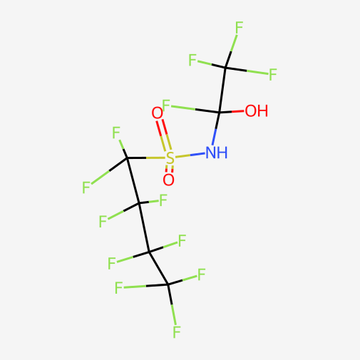 O=S(=O)(NC(O)(F)C(F)(F)F)C(F)(F)C(F)(F)C(F)(F)C(F)(F)F